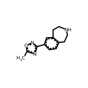 Cc1nc(-c2ccc3c(c2)CCNCC3)no1